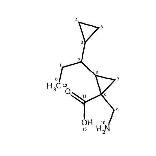 CCC(C1CC1)C1CC1(CN)C(=O)O